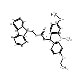 CCOc1ccc(C(NC(=O)CCC2c3ccccc3-c3ccccc32)c2ccc(OC)cc2OC)cc1